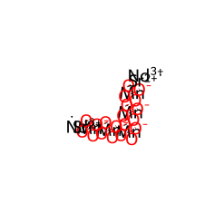 [Nd+3].[Nd+3].[O]=[Mn](=[O])([O-])[O-].[O]=[Mn](=[O])([O-])[O-].[O]=[Mn](=[O])([O-])[O-].[O]=[Mn](=[O])([O-])[O-].[O]=[Mn](=[O])([O-])[O-].[Sr+2].[Sr+2]